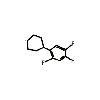 Fc1cc(F)c(C2CC[CH]CC2)cc1F